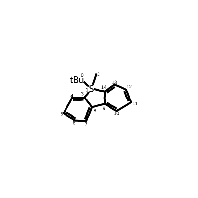 CC(C)(C)S1(C)c2ccccc2-c2ccccc21